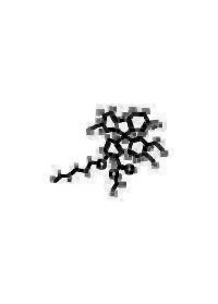 CCCCCCOc1ccc(C2(c3ccc(C)c(CC)c3)c3cc(C)ccc3-c3ccc(C)cc32)cc1C(=O)OCC